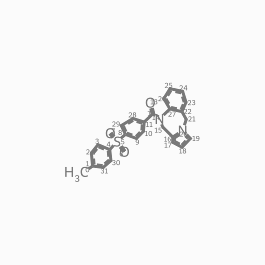 Cc1ccc(S(=O)(=O)c2ccc(C(=O)N3Cc4cccn4Cc4ccccc43)cc2)cc1